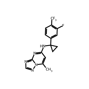 Cc1cc(NC2(c3ccc(C(F)(F)F)c(F)c3)CC2)nc2ncnn12